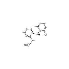 Cc1cccc(Cl)c1Nc1ccccc1CC(=O)O